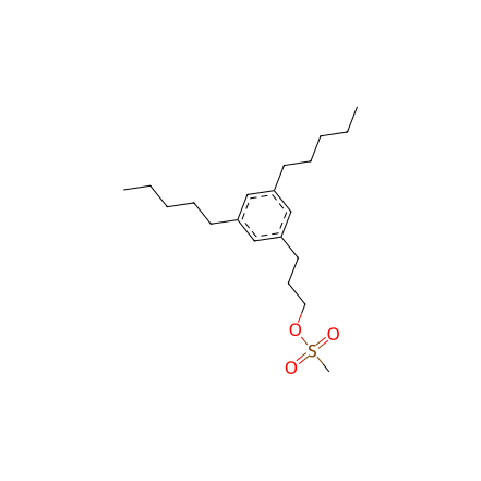 CCCCCc1cc(CCCCC)cc(CCCOS(C)(=O)=O)c1